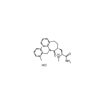 CN[C@@H](C[C@@H]1CCc2ccccc2N(Cc2c(C)cccc2C)C1=O)C(N)=O.Cl